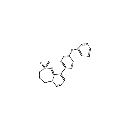 O=S1(=O)CCCN2C=CC=C(c3ccc(Oc4ccccc4)cn3)C2=N1